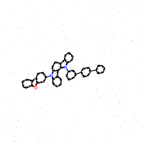 c1ccc(-c2ccc(-c3cccc(-n4c5ccccc5c5ccc6c(c7ccccc7n6-c6ccc7c(c6)oc6ccccc67)c54)c3)cc2)cc1